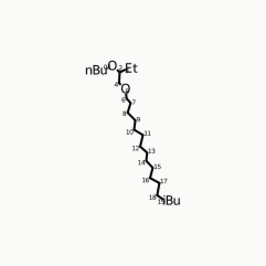 CCCCOC(CC)COCCCCCCCCCCCCCC(C)CC